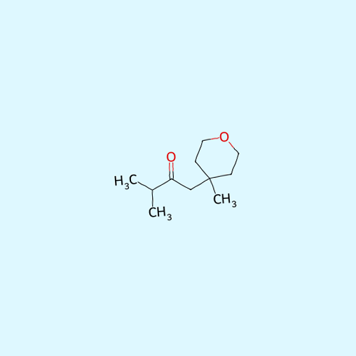 CC(C)C(=O)CC1(C)CCOCC1